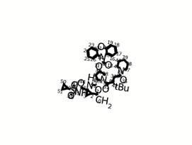 C=CC1CC1(NC(=O)[C@@H]1C[C@@H](OC(=O)N2c3ccccc3Oc3ccccc32)CN1C(=O)[C@@H](CC(=O)N1CCCCC1)C(C)(C)C)C(=O)NS(=O)(=O)C1CC1